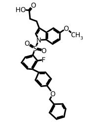 COc1ccc2c(c1)c(CCC(=O)O)cn2S(=O)(=O)c1cccc(-c2ccc(OCc3ccccc3)cc2)c1F